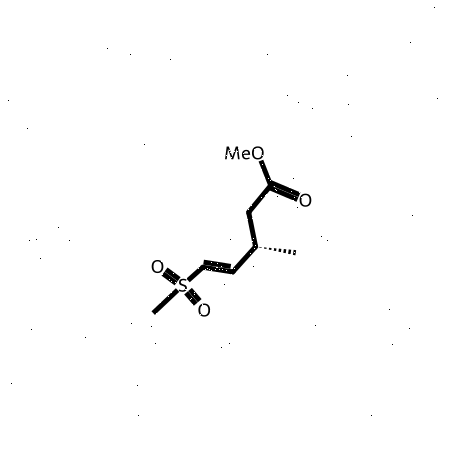 COC(=O)C[C@H](C)/C=C/S(C)(=O)=O